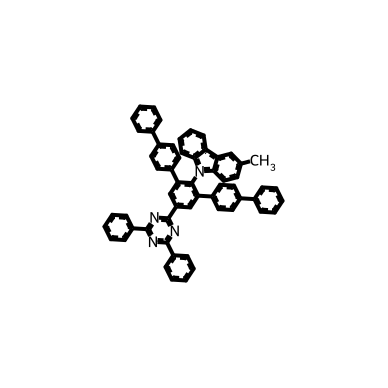 Cc1ccc2c(c1)c1ccccc1n2-c1c(-c2ccc(-c3ccccc3)cc2)cc(-c2nc(-c3ccccc3)nc(-c3ccccc3)n2)cc1-c1ccc(-c2ccccc2)cc1